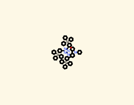 c1ccc(-n2c3ccccc3c3c2ccc2c4cc([Si](c5ccccc5)(c5ccccc5)c5ccccc5)ccc4n(-c4nc(-c5cccc([Si](c6ccccc6)(c6ccccc6)c6ccccc6)c5)nc(-c5cccc([Si](c6ccccc6)(c6ccccc6)c6ccccc6)c5)n4)c23)cc1